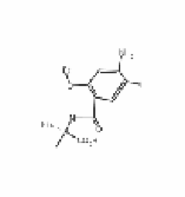 CCOc1cc(N)c(I)cc1C(=O)N[C@@](C)(CC)C(=O)O